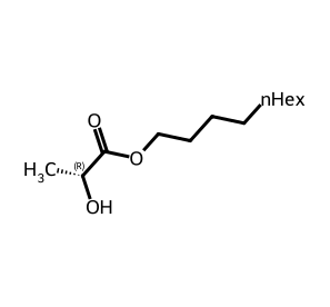 CCCCCCCCCCOC(=O)[C@@H](C)O